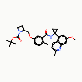 COc1cc(C2(NC(=O)c3cc(OC[C@@H]4CCN4C(=O)OC(C)(C)C)ccc3C)CC2)c2ccc(C)nc2c1